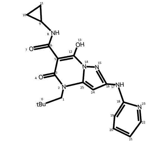 CC(C)(C)Cn1c(=O)c(C(=O)NC2CC2)c(O)n2nc(Nc3ccccn3)cc12